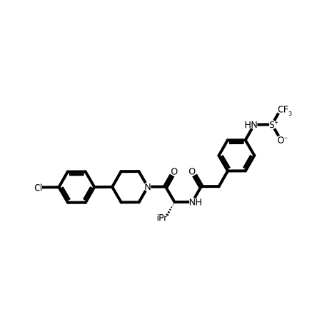 CC(C)[C@@H](NC(=O)Cc1ccc(N[S+]([O-])C(F)(F)F)cc1)C(=O)N1CCC(c2ccc(Cl)cc2)CC1